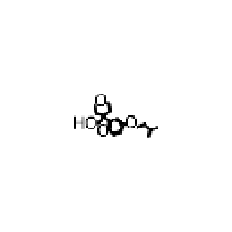 CC(C)CCOc1cccc(C2(C(=O)O)CCOCC2)c1